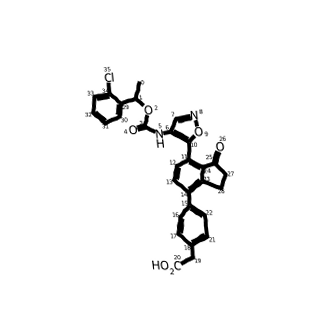 CC(OC(=O)Nc1cnoc1-c1ccc(-c2ccc(CC(=O)O)cc2)c2c1C(=O)CC2)c1ccccc1Cl